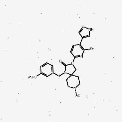 CCc1nc(N2CC3(CCN(C(C)=O)CC3)N(Cc3cccc(OC)c3)C2=O)ccc1-c1cn[nH]c1